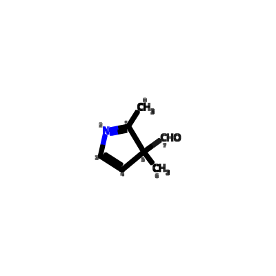 CC1=NC=CC1(C)C=O